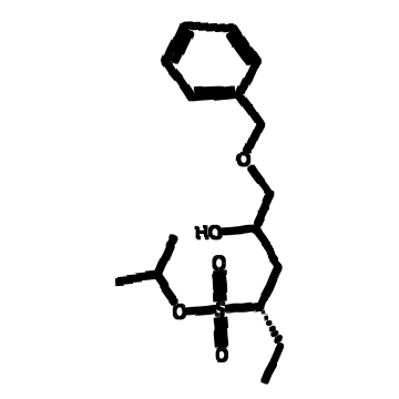 CC[C@@H](CC(O)COCc1ccccc1)S(=O)(=O)OC(C)C